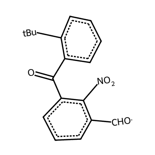 CC(C)(C)c1ccccc1C(=O)c1cccc([C]=O)c1[N+](=O)[O-]